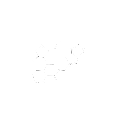 O=C[C@H]1NCC(=S)C1C(=O)C1CCCCN1C(=O)CCC1=Cc2ccccc2C1